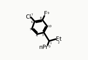 CCCC(CC)c1ccc(Cl)c(F)c1